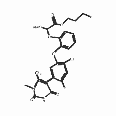 COC(Oc1ccccc1Oc1cc(-c2c(C(F)(F)F)n(C)c(=O)[nH]c2=O)c(F)cc1Cl)C(=O)OCCCF